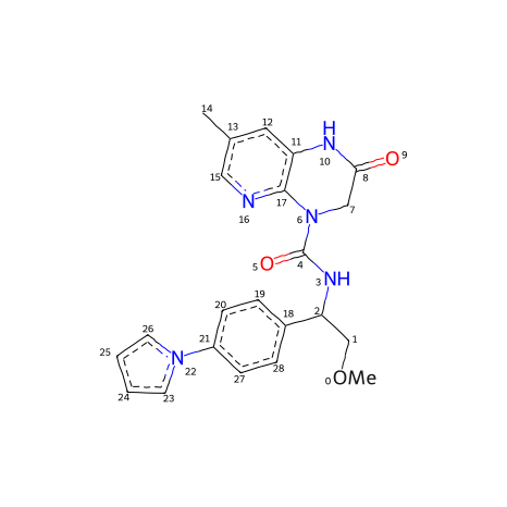 COCC(NC(=O)N1CC(=O)Nc2cc(C)cnc21)c1ccc(-n2cccc2)cc1